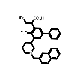 CC(C)CC(C(=O)O)c1cc(-c2ccccc2)cc(C2CCCN(Cc3ccc4ccccc4c3)C2)c1C(F)(F)F